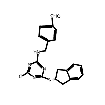 O=Cc1ccc(CNc2nc(Cl)nc(NC3Cc4ccccc4C3)n2)cc1